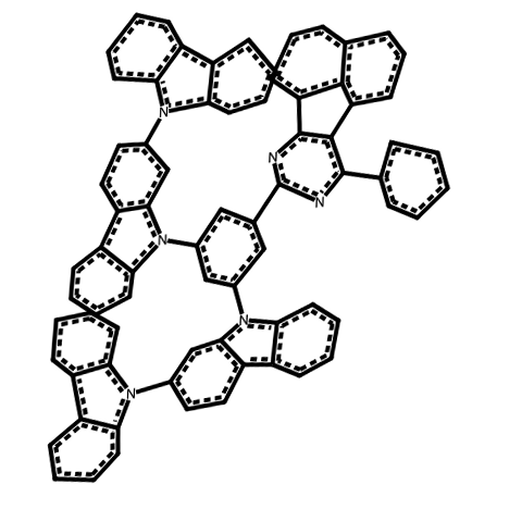 c1ccc(-c2nc(-c3cc(-n4c5ccccc5c5ccc(-n6c7ccccc7c7ccccc76)cc54)cc(-n4c5ccccc5c5ccc(-n6c7ccccc7c7ccccc76)cc54)c3)nc3c2-c2cccc4cccc-3c24)cc1